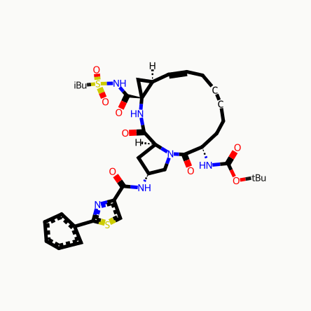 CCC(C)S(=O)(=O)NC(=O)[C@@]12C[C@H]1/C=C\CCCCC[C@H](NC(=O)OC(C)(C)C)C(=O)N1C[C@H](NC(=O)c3csc(-c4ccccc4)n3)C[C@H]1C(=O)N2